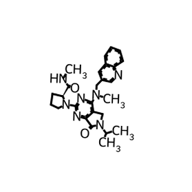 CNC(=O)[C@@H]1CCCN1c1nc2c(c(N(C)Cc3cnc4ccccc4c3)n1)CN(C(C)C)C2=O